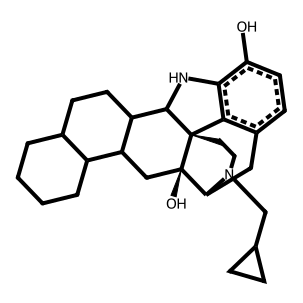 Oc1ccc2c3c1NC1C4CCC5CCCCC5C4C[C@@]4(O)C(C2)N(CC2CC2)CC[C@]314